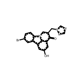 O=c1c(Cn2cncn2)cn2c3ccc(Br)cc3c3cc(O)cc1c32